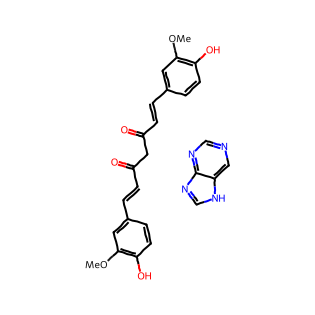 COc1cc(/C=C/C(=O)CC(=O)/C=C/c2ccc(O)c(OC)c2)ccc1O.c1ncc2[nH]cnc2n1